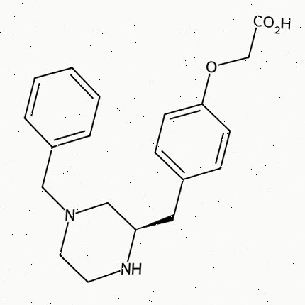 O=C(O)COc1ccc(C[C@@H]2CN(Cc3ccccc3)CCN2)cc1